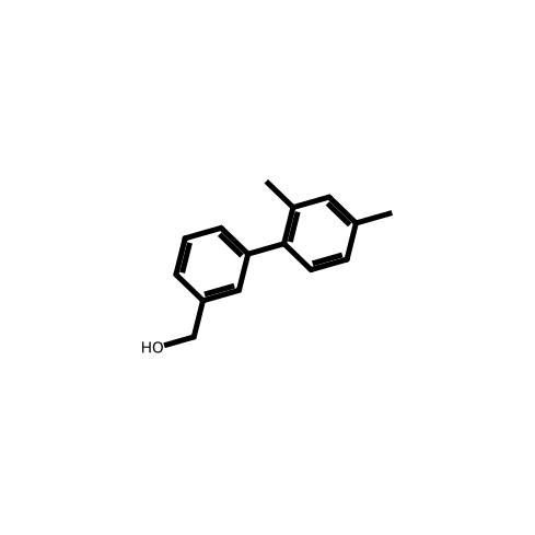 Cc1ccc(-c2cccc(CO)c2)c(C)c1